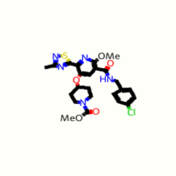 COC(=O)N1CCC(Oc2cc(C(=O)NCc3ccc(Cl)cc3)c(OC)nc2-c2nc(C)ns2)CC1